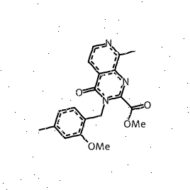 COC(=O)c1nc2c(C)nccc2c(=O)n1Cc1ccc(C)cc1OC